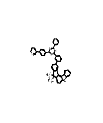 CC1(C)c2ccc(-c3cccc(-c4nc(-c5ccccc5)nc(-c5ccc(-c6cccnc6)cc5)n4)c3)cc2-c2c1ccc1oc3ccccc3c21